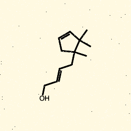 CC1(C)C=CCC1(C)CC=CCO